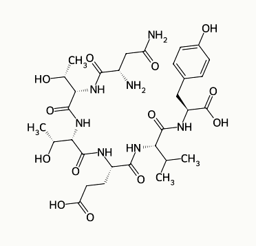 CC(C)[C@H](NC(=O)[C@H](CCC(=O)O)NC(=O)[C@@H](NC(=O)[C@@H](NC(=O)[C@@H](N)CC(N)=O)[C@@H](C)O)[C@@H](C)O)C(=O)N[C@@H](Cc1ccc(O)cc1)C(=O)O